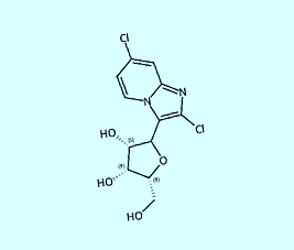 OC[C@H]1OC(c2c(Cl)nc3cc(Cl)ccn23)[C@@H](O)[C@H]1O